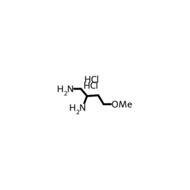 COCCC(N)CN.Cl.Cl